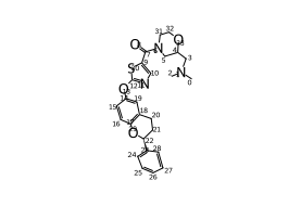 CN(C)CC1CN(C(=O)c2cnc(Oc3ccc4c(c3)CC[C@@H](c3ccccc3)O4)s2)CCO1